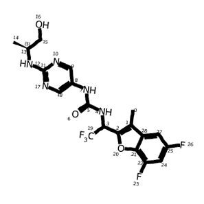 Cc1c(C(NC(=O)Nc2cnc(N[C@@H](C)CO)nc2)C(F)(F)F)oc2c(F)cc(F)cc12